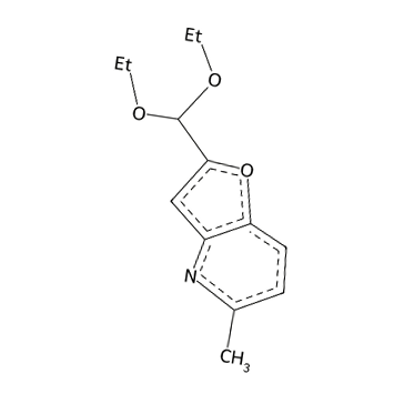 CCOC(OCC)c1cc2nc(C)ccc2o1